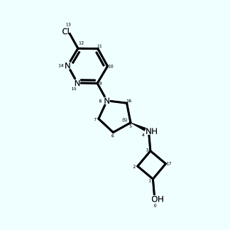 OC1CC(N[C@H]2CCN(c3ccc(Cl)nn3)C2)C1